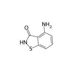 Nc1cccc2s[nH]c(=O)c12